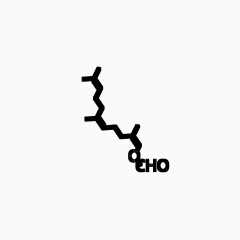 CC(C)=CCCC(C)=CCCC(C)=COC=O